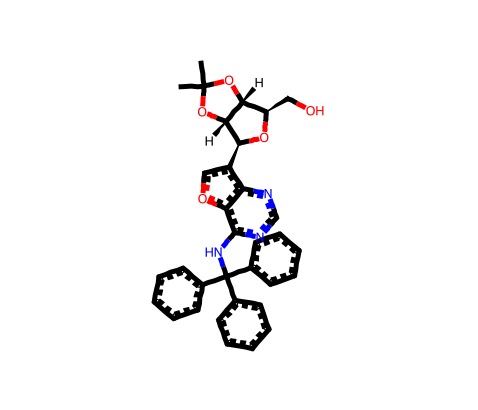 CC1(C)O[C@@H]2[C@H](O1)[C@@H](CO)O[C@H]2c1coc2c(NC(c3ccccc3)(c3ccccc3)c3ccccc3)ncnc12